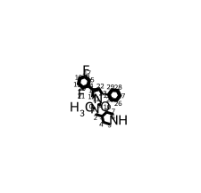 CN(CC1CCNCC1)C(=O)N1CC(c2cc(F)ccc2F)=C[C@H]1c1ccccc1